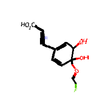 O=C(O)/C=C/C1=CC(O)C(O)(OCF)C=C1